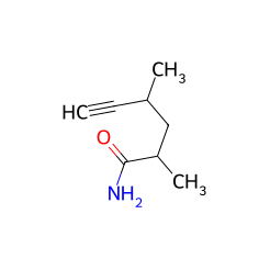 C#CC(C)CC(C)C(N)=O